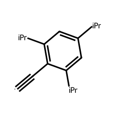 [C]#Cc1c(C(C)C)cc(C(C)C)cc1C(C)C